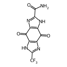 NC(=O)c1nc2c([nH]1)C(=O)c1nc(C(F)(F)F)[nH]c1C2=O